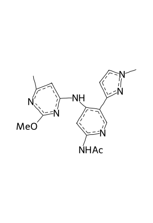 COc1nc(C)cc(Nc2cc(NC(C)=O)ncc2-c2ccn(C)n2)n1